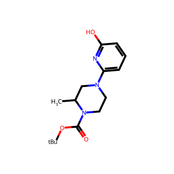 CC1CN(c2cccc(O)n2)CCN1C(=O)OC(C)(C)C